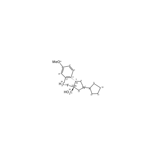 COc1ccc([C@@H]2CN(C3CCCC3)C[C@@]2(F)C(=O)O)c(C)c1